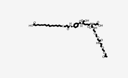 CC(=O)COCCOCCNC(=O)COCCOCCNC(=O)[C@H](CCC(=O)O)NC(=O)CCC(NC(=O)[C@H]1CC[C@H](CNC(=O)CCCCCCCCCCCCCCCCCCC(=O)O)CC1)C(=O)O